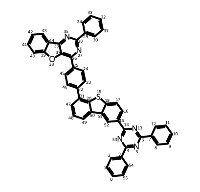 c1ccc(-c2nc(-c3ccccc3)nc(-c3ccc4sc5c(-c6ccc(-c7nc(-c8ccccc8)nc8c7oc7ccccc78)cc6)cccc5c4c3)n2)cc1